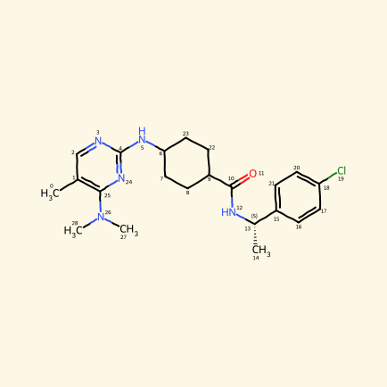 Cc1cnc(NC2CCC(C(=O)N[C@@H](C)c3ccc(Cl)cc3)CC2)nc1N(C)C